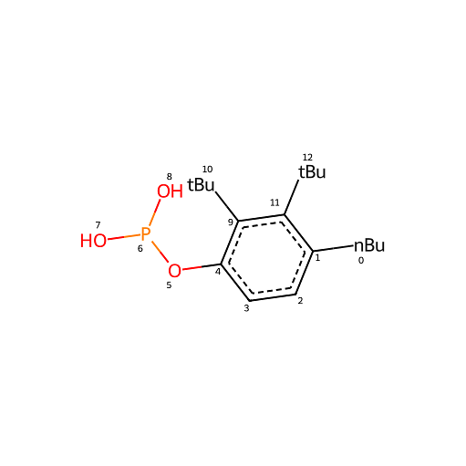 CCCCc1ccc(OP(O)O)c(C(C)(C)C)c1C(C)(C)C